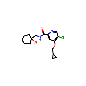 O=C(NCC1(O)CCCCC1)c1cc(OCC2CC2)c(Cl)cn1